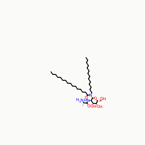 CCCCCCCCCCCCCCCC(=O)N(CCCCCCCCCCCCCC)[C@@H]1O[C@H](CO)[C@@H](O)[C@H](O)[C@H]1NC(=O)[C@H](C)N